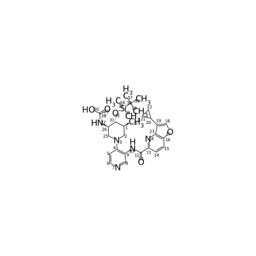 C[C@H]1CN(c2ccncc2NC(=O)c2ccc3occ(C4CC4)c3n2)C[C@@H](NC(=O)O)[C@@H]1O[Si](C)(C)C(C)(C)C